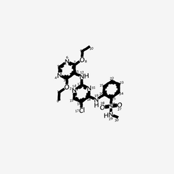 CCOc1ncnc(OCC)c1Nc1ncc(Cl)c(Nc2ccccc2S(=O)(=O)NC)n1